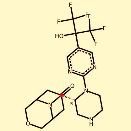 O=C1CC2COCC(C1)N2C[C@H]1CNCCN1c1ncc(C(O)(C(F)(F)F)C(F)(F)F)cn1